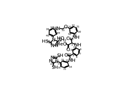 COC(=O)C(Nc1cccc(C(=O)Nc2cccc(-n3c(S)nnc3S)c2)c1)C(Nc1cccc(OCNc2cccc(-n3c(S)nnc3S)c2)c1)C(=O)O